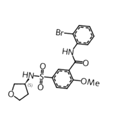 COc1ccc(S(=O)(=O)N[C@H]2CCOC2)cc1C(=O)Nc1ccccc1Br